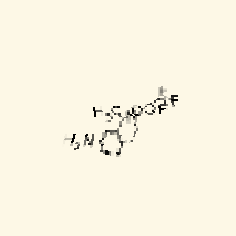 CC1c2cc(N)ccc2CCN1OOCC(F)(F)F